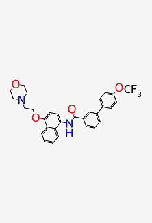 O=C(Nc1ccc(OCCN2CCOCC2)c2ccccc12)c1cccc(-c2ccc(OC(F)(F)F)cc2)c1